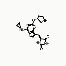 O=C1NC(=O)/C(=C/c2cnn3c(NC4CC4)nc(O[C@@H]4CCNC4)nc23)N1